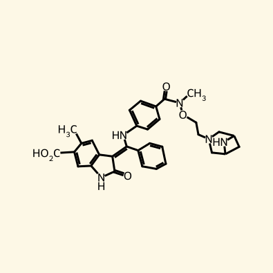 Cc1cc2c(cc1C(=O)O)NC(=O)C2=C(Nc1ccc(C(=O)N(C)OCCN2CC3CC(C2)N3)cc1)c1ccccc1